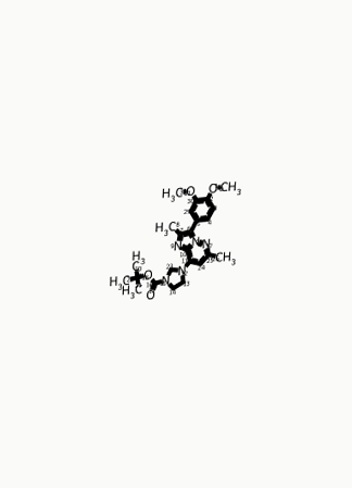 COc1ccc(-c2c(C)nc3c(N4CCN(C(=O)OC(C)(C)C)C4)cc(C)nn23)cc1OC